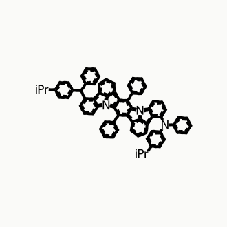 CC(C)c1ccc(C(c2ccccc2)c2cccc3c2c2cccc4c5c(-c6ccccc6)c6c(c(-c7ccccc7)c5n3c24)c2cccc3c4c(N(c5ccccc5)c5ccc(C(C)C)cc5)cccc4n6c32)cc1